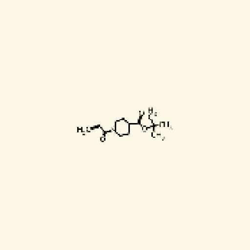 C=CC(=O)N1CCC(C(=O)OC(C)(C)C)CC1